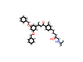 C/C(=C\C(=O)c1ccc(CCCC(O)CNC(C)C)cc1C)c1cc(OCc2ccccc2)cc(OCc2ccccc2)c1